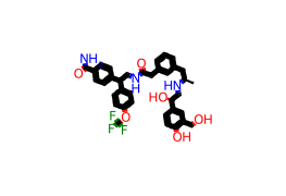 C[C@H](Cc1cccc(CC(=O)NCC(c2ccc(OC(F)(F)F)cc2)c2ccc(C(N)=O)cc2)c1)NC[C@H](O)c1ccc(O)c(CO)c1